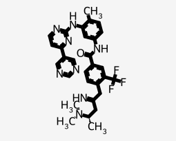 Cc1ccc(NC(=O)c2ccc(CC(=N)C[C@H](C)N(C)C)c(C(F)(F)F)c2)cc1Nc1nccc(-c2cncnc2)n1